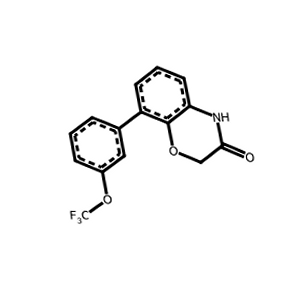 O=C1COc2c(cccc2-c2cccc(OC(F)(F)F)c2)N1